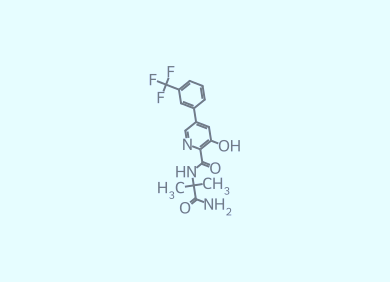 CC(C)(NC(=O)c1ncc(-c2cccc(C(F)(F)F)c2)cc1O)C(N)=O